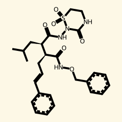 CC(C)C[C@@H](C(=O)NN1C(=O)NCCS1(=O)=O)[C@H](C/C=C/c1ccccc1)C(=O)NOCc1ccccc1